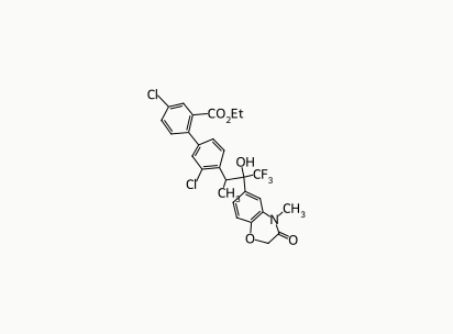 CCOC(=O)c1cc(Cl)ccc1-c1ccc(C(C)C(O)(c2ccc3c(c2)N(C)C(=O)CO3)C(F)(F)F)c(Cl)c1